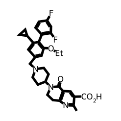 CCOc1cc(CN2CCC(N3CCc4nc(C)c(C(=O)O)cc4C3=O)CC2)cc(C2CC2)c1-c1ccc(F)cc1F